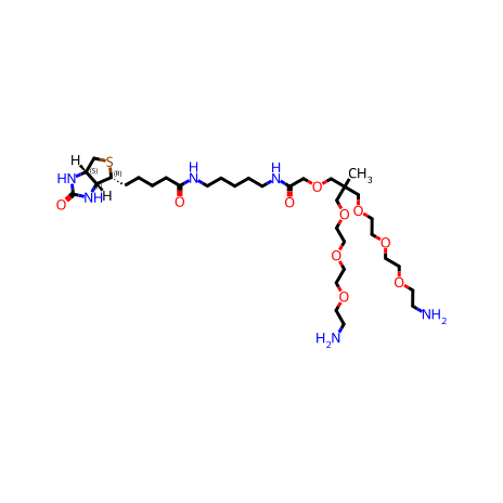 CC(COCCOCCOCCN)(COCCOCCOCCN)COCC(=O)NCCCCCNC(=O)CCCC[C@H]1SC[C@H]2NC(=O)N[C@H]21